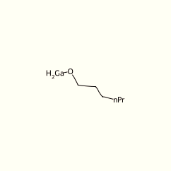 CCCCCC[O][GaH2]